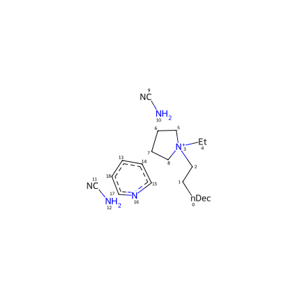 CCCCCCCCCCCC[N+]1(CC)CCCC1.N#CN.N#CN.c1ccncc1